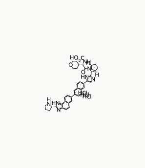 Cl.Cl.Cl.O=C(O)N[C@H](C(=O)N1[C@@H]2CC[C@@H](C2)[C@H]1c1ncc(-c2ccc3cc(-c4ccc5c(ccc6nc([C@@H]7CCCN7)[nH]c65)c4)ccc3c2)[nH]1)C1CCOCC1